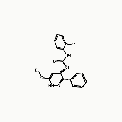 CCOc1cc(=NC(=O)Nc2ccccc2Cl)c(-c2ccccc2)n[nH]1